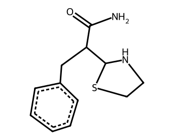 NC(=O)C(Cc1ccccc1)C1NCCS1